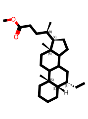 CC[C@H]1CC2C3CC[C@H]([C@H](C)CCC(=O)OC)[C@@]3(C)CCC2[C@@]2(C)CCCC[C@@H]12